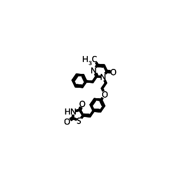 Cc1cc(=O)n(CCOc2ccc(C=C3SC(=O)NC3=O)cc2)c(Cc2ccccc2)n1